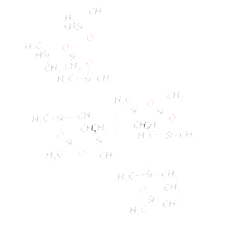 C[SiH](C)O[Si](C)(O[SiH](C)C)O[Si](C)(C)CC[Si](C)(C)O[Si](C)(C)O[Si](C)(C)CC[Si](C)(C)O[Si](C)(C)O[Si](C)(C)CC[Si](C)(C)O[Si](C)(C)C